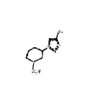 CC(C)(C)c1cn(C2CCCN(C(=O)O)C2)nn1